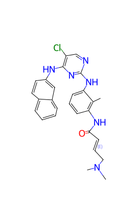 Cc1c(NC(=O)/C=C/CN(C)C)cccc1Nc1ncc(Cl)c(Nc2ccc3ccccc3c2)n1